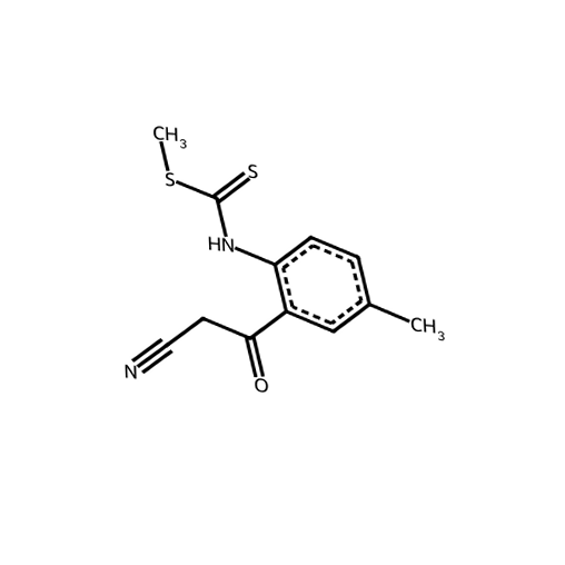 CSC(=S)Nc1ccc(C)cc1C(=O)CC#N